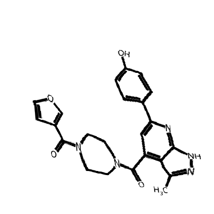 Cc1n[nH]c2nc(-c3ccc(O)cc3)cc(C(=O)N3CCN(C(=O)c4ccoc4)CC3)c12